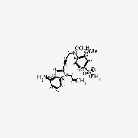 C=CCn1c(C#CCN(C(=O)O)c2ccc(S(C)(=O)=O)cc2OC)cc2c(N)cccc21